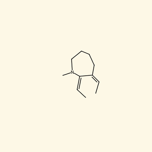 C/C=C1/CCCCN(C)/C1=C/C